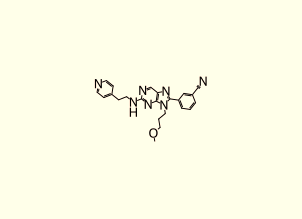 COCCCn1c(-c2cccc(C#N)c2)nc2cnc(NCCc3ccncc3)nc21